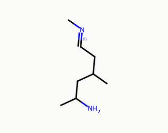 C/N=C/CC(C)CC(C)N